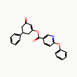 O=C1C=C(OC(=O)c2ccc(Oc3ccccc3)nc2)CC(c2ccccc2)C1